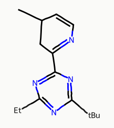 CCc1nc(C2=NC=CC(C)C2)nc(C(C)(C)C)n1